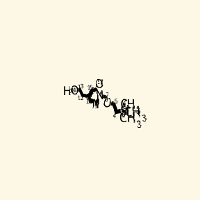 C[Si](C)(C)CCOCn1ncc(CCO)cc1=O